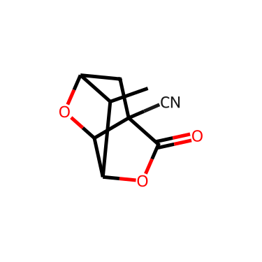 CC1C2CC3(C#N)C(=O)OC1C3O2